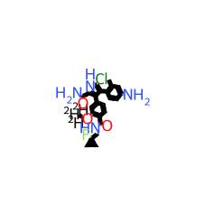 [2H]C([2H])([2H])Oc1cc(-c2c(C(N)=O)[nH]c(Cl)c2-c2ccc(N)cc2C)ccc1C(=O)NCC1(F)CC1